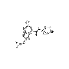 CC(C)c1cc(NC[C@@H]2CC3CC2CN3)n2nc(OC3CC3)nc2n1